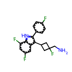 NCC1(F)CC(c2c(-c3ccc(F)cc3)[nH]c3c(F)cc(F)cc23)C1